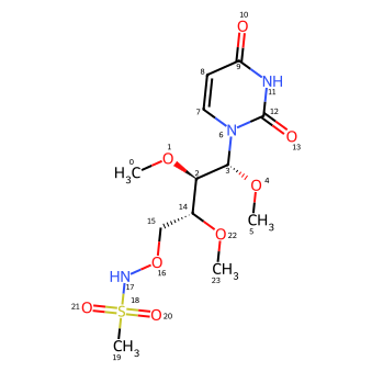 CO[C@@H]([C@@H](OC)n1ccc(=O)[nH]c1=O)[C@@H](CONS(C)(=O)=O)OC